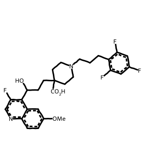 COc1ccc2ncc(F)c(C(O)CCC3(C(=O)O)CCN(CCCc4c(F)cc(F)cc4F)CC3)c2c1